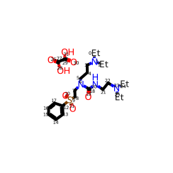 CCN(CC)CCCN(CCS(=O)(=O)c1ccccc1)C(=O)NCCN(CC)CC.O=C(O)C(=O)O